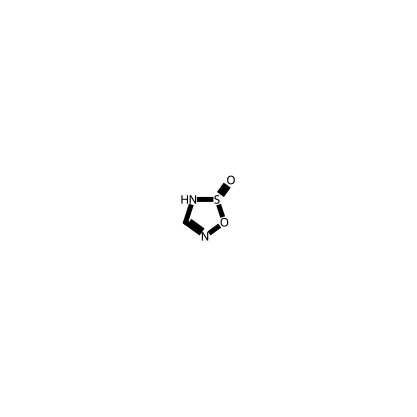 O=S1NC=NO1